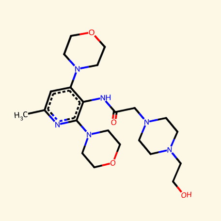 Cc1cc(N2CCOCC2)c(NC(=O)CN2CCN(CCO)CC2)c(N2CCOCC2)n1